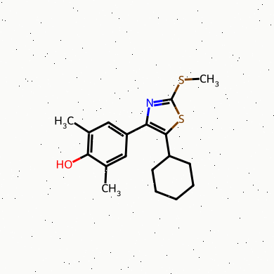 CSc1nc(-c2cc(C)c(O)c(C)c2)c(C2CCCCC2)s1